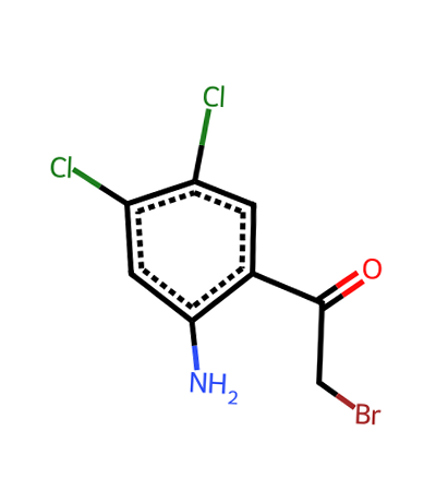 Nc1cc(Cl)c(Cl)cc1C(=O)CBr